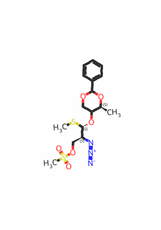 CS[C@H](OC1COC(c2ccccc2)O[C@H]1C)[C@H](COS(C)(=O)=O)N=[N+]=[N-]